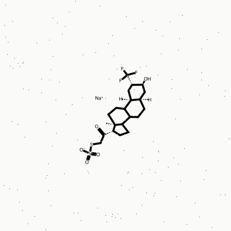 C[C@]12CCC3C(CC[C@@H]4C[C@H](O)[C@@H](C(F)(F)F)C[C@H]34)C1CC[C@@H]2C(=O)CSS(=O)(=O)[O-].[Na+]